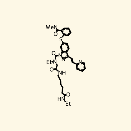 CCNC(=O)CCCCCNC(=O)CN(CC)C(=O)n1nc(/C=C/c2ccccn2)c2ccc(Sc3ccccc3C(=O)NC)cc21